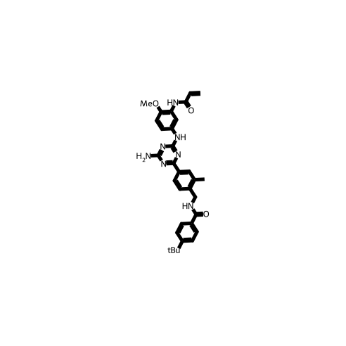 C=CC(=O)Nc1cc(Nc2nc(N)nc(-c3ccc(CNC(=O)c4ccc(C(C)(C)C)cc4)c(C)c3)n2)ccc1OC